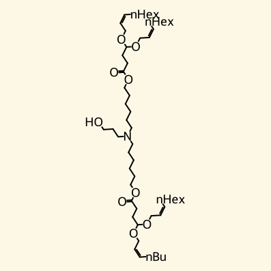 CCCC/C=C\COC(CCC(=O)OCCCCCCN(CCCO)CCCCCCOC(=O)CCC(OC/C=C\CCCCCC)OC/C=C\CCCCCC)OC/C=C\CCCCCC